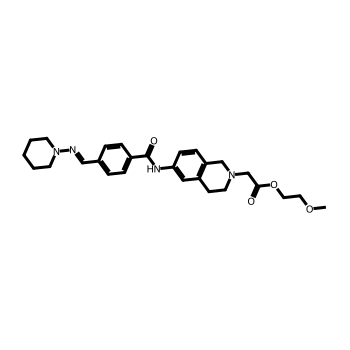 COCCOC(=O)CN1CCc2cc(NC(=O)c3ccc(/C=N/N4CCCCC4)cc3)ccc2C1